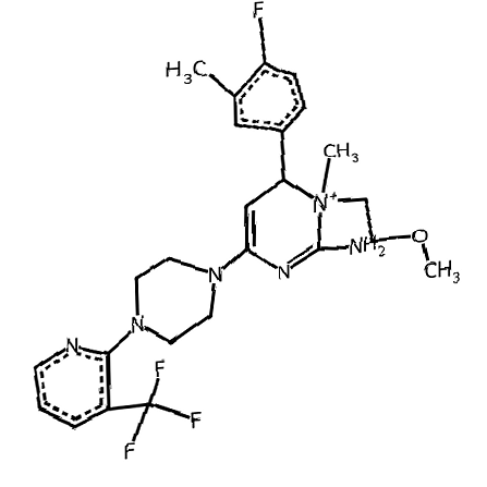 COCC[N+]1(C)C(N)=NC(N2CCN(c3ncccc3C(F)(F)F)CC2)=CC1c1ccc(F)c(C)c1